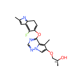 CC1=CC2=C(F)C(Oc3ncnn4cc(OC[C@H](C)O)c(C)c34)=CCC2=N1